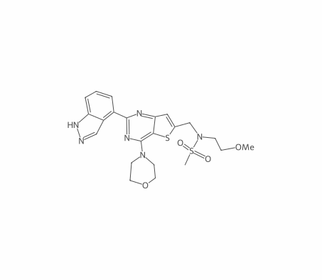 COCCN(Cc1cc2nc(-c3cccc4[nH]ncc34)nc(N3CCOCC3)c2s1)S(C)(=O)=O